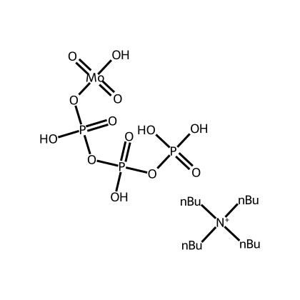 CCCC[N+](CCCC)(CCCC)CCCC.O=P(O)(O)OP(=O)(O)OP(=O)(O)[O][Mo](=[O])(=[O])[OH]